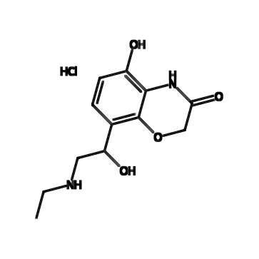 CCNCC(O)c1ccc(O)c2c1OCC(=O)N2.Cl